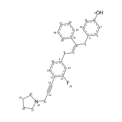 Oc1ccc(CC(=CCc2ccc(C#CCN3CCCC3)c(F)c2)c2ccccc2)cc1